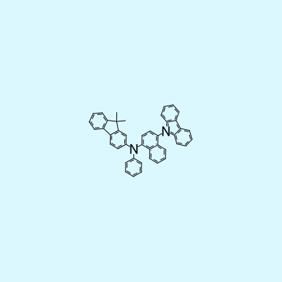 CC1(C)c2ccccc2-c2ccc(N(c3ccccc3)c3ccc(-n4c5ccccc5c5ccccc54)c4ccccc34)cc21